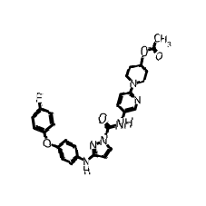 CC(=O)OC1CCN(c2ccc(NC(=O)n3ccc(Nc4ccc(Oc5ccc(F)cc5)cc4)n3)cn2)CC1